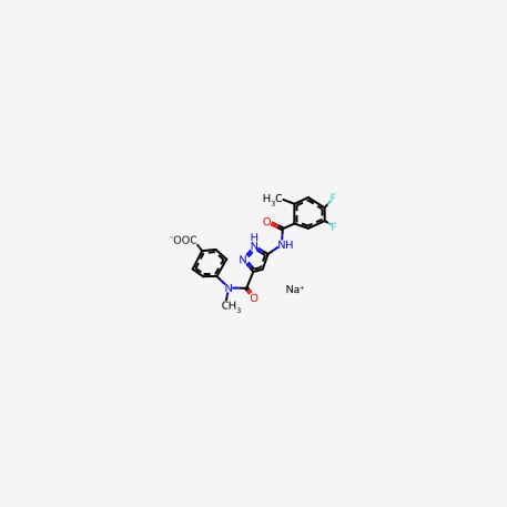 Cc1cc(F)c(F)cc1C(=O)Nc1cc(C(=O)N(C)c2ccc(C(=O)[O-])cc2)n[nH]1.[Na+]